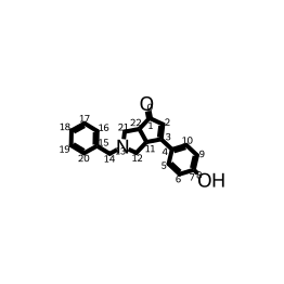 O=C1C=C(c2ccc(O)cc2)C2CN(Cc3ccccc3)CC12